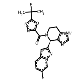 CC(C)(F)c1nnc(C(=O)N2CCc3[nH]cnc3[C@H]2c2cc3ccc(F)cn3n2)o1